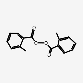 Cc1ccccc1C(=O)OOC(=O)c1ccccc1C